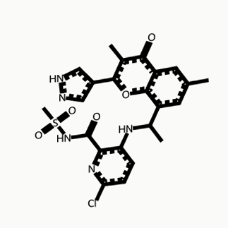 Cc1cc(C(C)Nc2ccc(Cl)nc2C(=O)NS(C)(=O)=O)c2oc(-c3cn[nH]c3)c(C)c(=O)c2c1